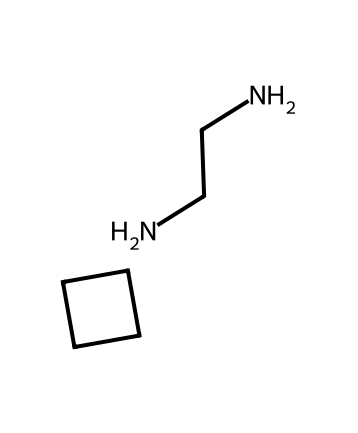 C1CCC1.NCCN